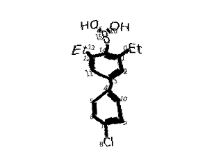 CCc1cc(-c2ccc(Cl)cc2)cc(CC)c1B(O)O